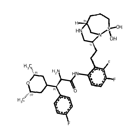 C[C@@H]1CC([C@H](c2ccc(F)cc2)C(N)C(=O)Nc2ccc(F)c(F)c2CC[C@H]2CN[C@@H]3CCCS(O)(O)N2C3)C[C@H](C)O1